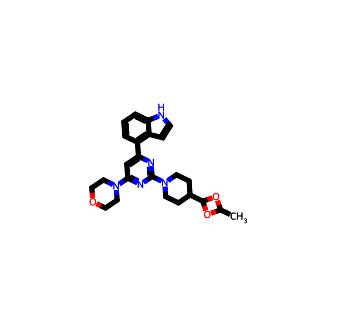 CC1OC(C2CCN(c3nc(-c4cccc5[nH]ccc45)cc(N4CCOCC4)n3)CC2)O1